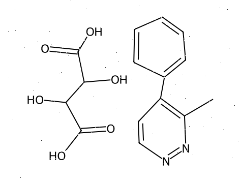 Cc1nnccc1-c1ccccc1.O=C(O)C(O)C(O)C(=O)O